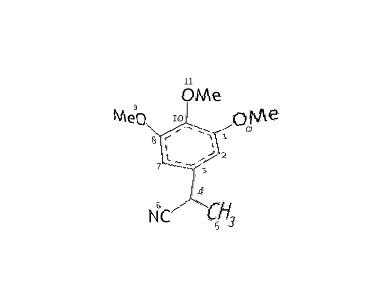 COc1cc(C(C)C#N)cc(OC)c1OC